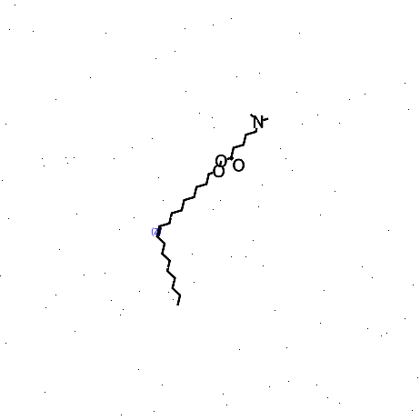 CCCCCCCC/C=C\CCCCCCCCOOC(=O)CCCCN(C)C